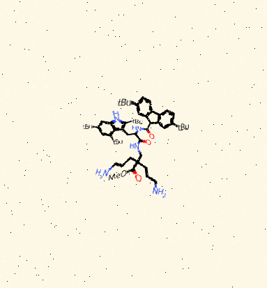 COC(=O)C(CCCN)(CCCN)CNC(=O)C(Cc1c(C(C)(C)C)[nH]c2cc(C(C)(C)C)cc(C(C)(C)C)c12)NC(=O)C1c2cc(C(C)(C)C)ccc2-c2ccc(C(C)(C)C)cc21